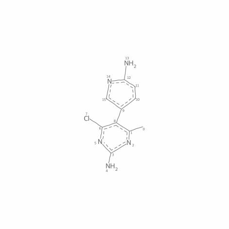 Cc1nc(N)nc(Cl)c1-c1ccc(N)nc1